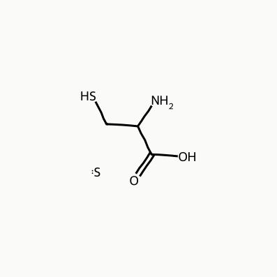 NC(CS)C(=O)O.[S]